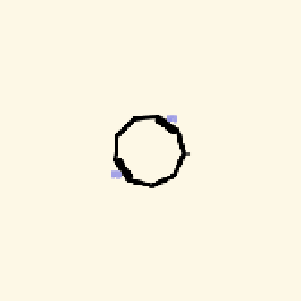 [CH]1/C=C\CC/C=C\CC1